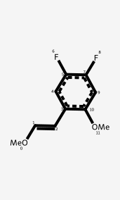 COC=Cc1cc(F)c(F)cc1OC